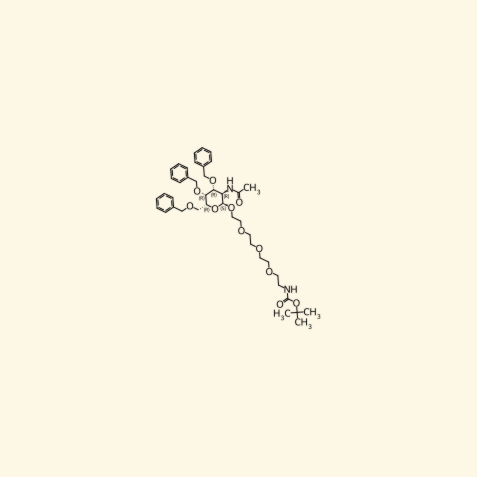 CC(=O)N[C@H]1[C@@H](OCCOCCOCCOCCNC(=O)OC(C)(C)C)O[C@H](COCc2ccccc2)[C@H](OCc2ccccc2)[C@@H]1OCc1ccccc1